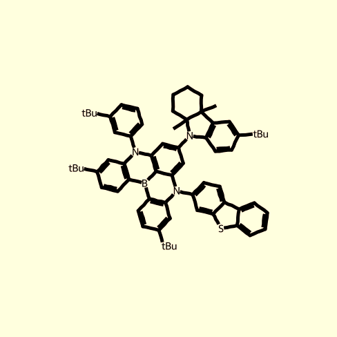 CC(C)(C)c1cccc(N2c3cc(C(C)(C)C)ccc3B3c4ccc(C(C)(C)C)cc4N(c4ccc5c(c4)sc4ccccc45)c4cc(N5c6ccc(C(C)(C)C)cc6C6(C)CCCCC56C)cc2c43)c1